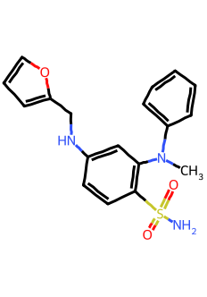 CN(c1ccccc1)c1cc(NCc2ccco2)ccc1S(N)(=O)=O